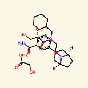 NC(=O)c1cccc([C@H]2C[C@H]3CC[C@@H](C2)N3CCN(CC2CCCCC2)C(=O)[C@@H](O)CO)c1.O=C(O)CO